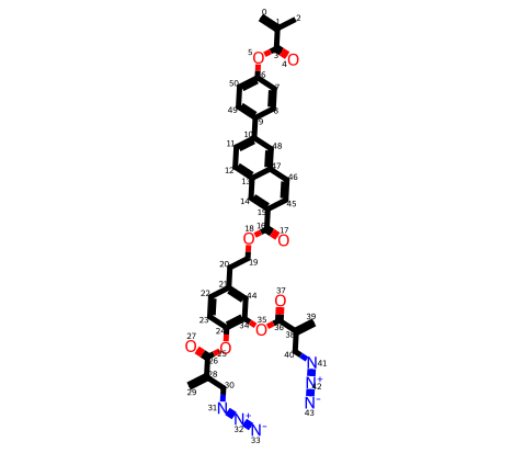 C=C(C)C(=O)Oc1ccc(-c2ccc3cc(C(=O)OCCc4ccc(OC(=O)C(=C)CN=[N+]=[N-])c(OC(=O)C(=C)CN=[N+]=[N-])c4)ccc3c2)cc1